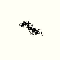 Cc1ccc(NC(=O)C2(c3ccc4c(c3)OC(F)(F)O4)CC2)cc1-c1ccc([S+]([O-])N(C)C)cc1